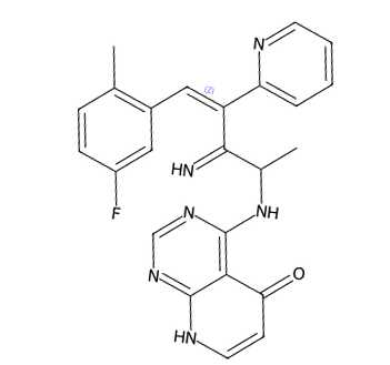 Cc1ccc(F)cc1/C=C(\C(=N)C(C)Nc1ncnc2[nH]ccc(=O)c12)c1ccccn1